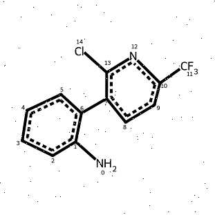 Nc1ccccc1-c1ccc(C(F)(F)F)nc1Cl